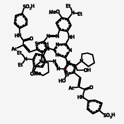 CCN(CC)c1cc(Nc2nc(Nc3cc(N(CC)CC)c(OC)cc3/N=N/c3nc(N4CCCCC4)c(/C=C(\C(C)=O)C(=O)Nc4ccc(S(=O)(=O)O)cc4)s3)nc(N(CCO)CCO)n2)c(/N=N/c2nc(N3CCCCC3)c(C=C(C(C)=O)C(=O)Nc3ccc(S(=O)(=O)O)cc3)s2)cc1OC